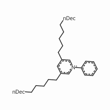 CCCCCCCCCCCCCCCc1cc(CCCCCCCCCCCCCCC)c[n+](-c2ccccc2)c1